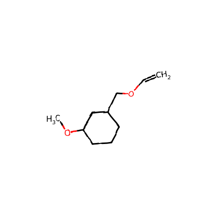 C=COCC1CCCC(OC)C1